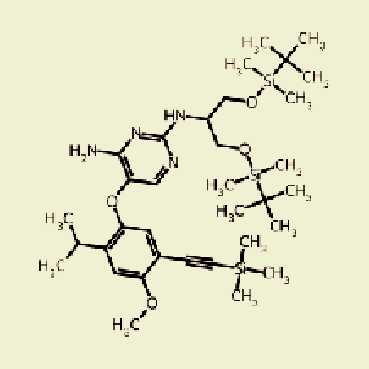 COc1cc(C(C)C)c(Oc2cnc(NC(CO[Si](C)(C)C(C)(C)C)CO[Si](C)(C)C(C)(C)C)nc2N)cc1C#C[Si](C)(C)C